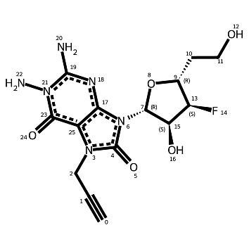 C#CCn1c(=O)n([C@@H]2O[C@H](CCO)[C@@H](F)[C@H]2O)c2nc(N)n(N)c(=O)c21